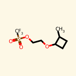 CC1CCC1OCCOS(=O)(=O)C(F)(F)F